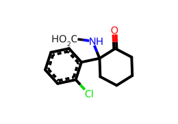 O=C(O)NC1(c2ccccc2Cl)CCCCC1=O